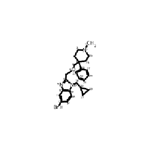 CN1CCC(COCc2nc3cc(Br)ccc3n2CC2CC2)(c2ccccc2)CC1